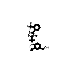 Cn1c(-c2ccccc2C(F)(F)F)nnc1C(C)(C)Oc1ccc(CO)cc1C(F)(F)F